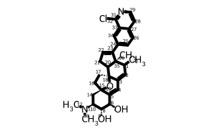 CC1C=C2C=C3[C@@H](O)[C@H](O)[C@@H](N(C)C)C[C@]34CC[C@]2(O4)C2CC=C(c3ccc4ccnc(Cl)c4c3)[C@@]12C